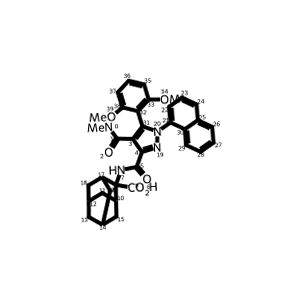 CNC(=O)c1c(C(=O)NC2(C(=O)O)C3CC4CC(C3)CC2C4)nn(-c2cccc3ccccc23)c1-c1c(OC)cccc1OC